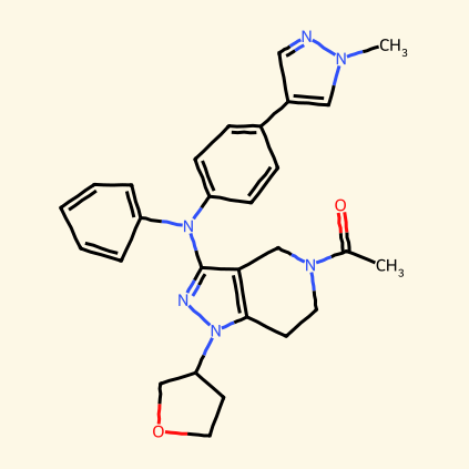 CC(=O)N1CCc2c(c(N(c3ccccc3)c3ccc(-c4cnn(C)c4)cc3)nn2C2CCOC2)C1